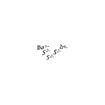 [Ba+2].[S-2].[S-2].[S-2].[Zr+4]